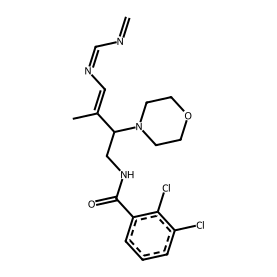 C=N/C=N\C=C(/C)C(CNC(=O)c1cccc(Cl)c1Cl)N1CCOCC1